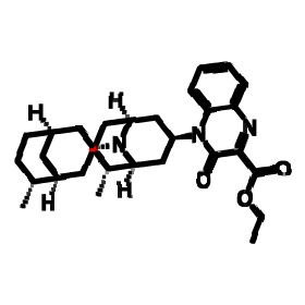 CCOC(=O)c1nc2ccccc2n([C@@H]2C[C@@H]3CC[C@@H](C)[C@H](C2)N3[C@H]2C[C@@H]3CC[C@@H](C)[C@@H](C3)C2)c1=O